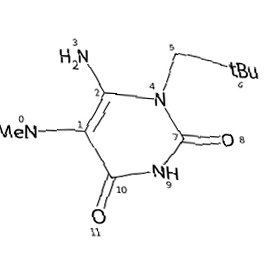 CNc1c(N)n(CC(C)(C)C)c(=O)[nH]c1=O